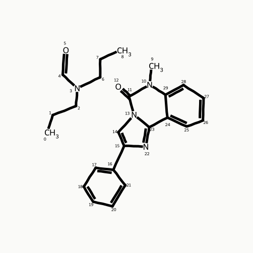 CCCN(C=O)CCC.Cn1c(=O)n2cc(-c3ccccc3)nc2c2ccccc21